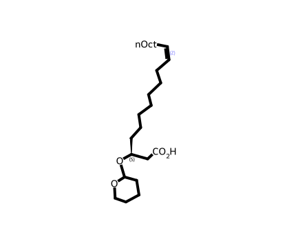 CCCCCCCC/C=C\CCCCCCC[C@@H](CC(=O)O)OC1CCCCO1